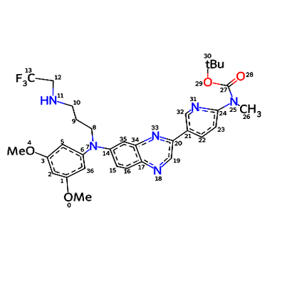 COc1cc(OC)cc(N(CCCNCC(F)(F)F)c2ccc3ncc(-c4ccc(N(C)C(=O)OC(C)(C)C)nc4)nc3c2)c1